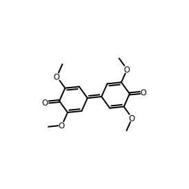 COC1=CC(=C2C=C(OC)C(=O)C(OC)=C2)C=C(OC)C1=O